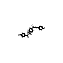 O=C(C#Cc1ccc(F)cc1)N1CCC2(CC1)CN(C(=O)c1ccc(Br)cc1)C2